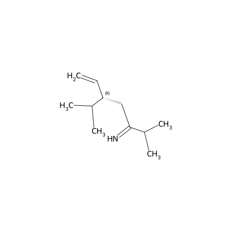 C=C[C@H](CC(=N)C(C)C)C(C)C